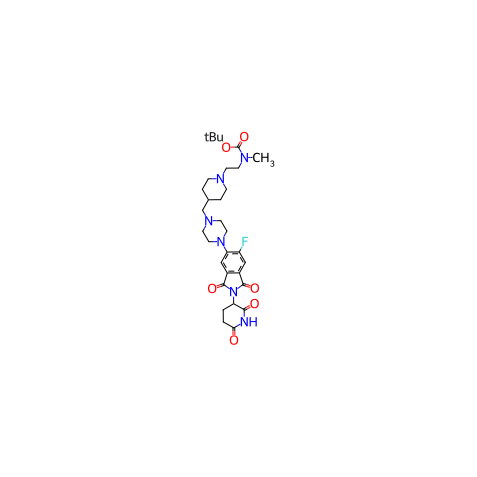 CN(CCN1CCC(CN2CCN(c3cc4c(cc3F)C(=O)N(C3CCC(=O)NC3=O)C4=O)CC2)CC1)C(=O)OC(C)(C)C